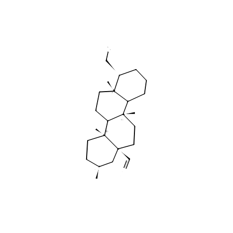 C=C[C@]12CC[C@@H]3C(CC[C@@]4(C)C3CCC[C@@H]4CN)[C@H]1CC[C@H](C)C2